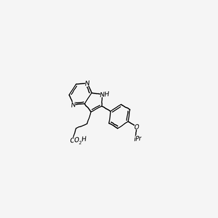 CC(C)Oc1ccc(-c2[nH]c3nccnc3c2CCC(=O)O)cc1